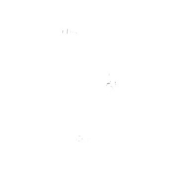 CCCCCCCCCCCCCCCCCCCCCCCCOC(=O)/C=C\C(=O)OCCCCCCCCCCCCCCCCCCCCCCCC